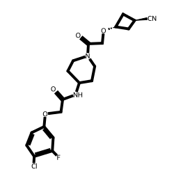 N#C[C@H]1C[C@H](OCC(=O)N2CCC(NC(=O)COc3ccc(Cl)c(F)c3)CC2)C1